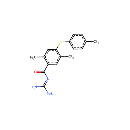 Cc1cc(Sc2ccc(C(F)(F)F)cc2)c(C(F)(F)F)cc1C(=O)N=C(N)N